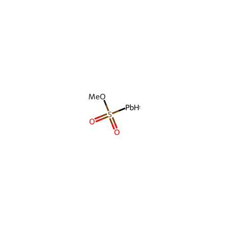 CO[S](=O)(=O)[PbH]